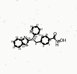 O=C(NO)c1ccc(CN(c2ccccn2)c2nc3ccccc3s2)cc1